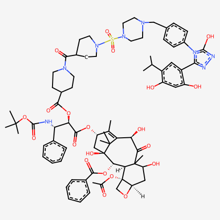 CC(=O)O[C@@]12CO[C@@H]1CC(O)C1(C)C(=O)[C@H](O)C3=C(C)[C@@H](OC(=O)[C@H](OC(=O)C4CCN(C(=O)C5CCN(S(=O)(=O)N6CCN(Cc7ccc(-n8c(O)nnc8-c8cc(C(C)C)c(O)cc8O)cc7)CC6)CC5)CC4)[C@@H](NC(=O)OC(C)(C)C)c4ccccc4)C[C@@](O)([C@@H](OC(=O)c4ccccc4)[C@@H]12)C3(C)C